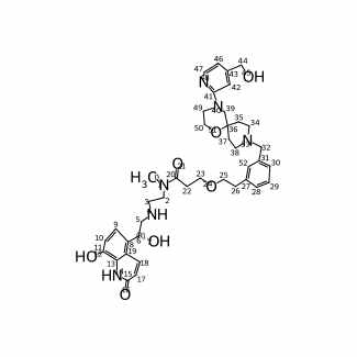 CN(CCNC[C@H](O)c1ccc(O)c2[nH]c(=O)ccc12)C(=O)CCOCCc1cccc(CN2CCC3(CC2)CN(c2cc(CO)ccn2)CCO3)c1